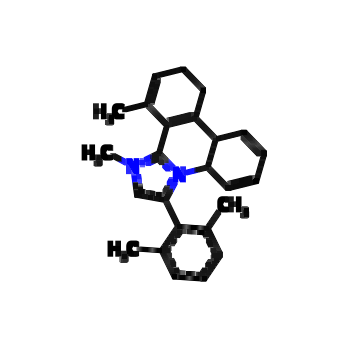 CC1=CCCC2=C1c1n(c(-c3c(C)cccc3C)c[n+]1C)C1C=CC=CC21